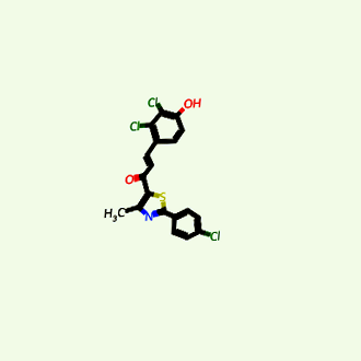 Cc1nc(-c2ccc(Cl)cc2)sc1C(=O)/C=C/c1ccc(O)c(Cl)c1Cl